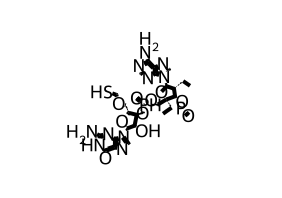 CC[C@H]1[C@H](n2cnc3c(N)ncnc32)O[C@](CC)(CO[PH](=O)O[C@H]2[C@@H](O)[C@H](n3cnc4c(=O)[nH]c(N)nc43)O[C@@H]2COCS)[C@H]1OP=O